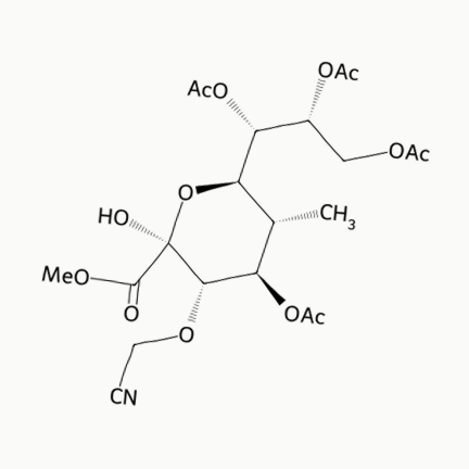 COC(=O)[C@@]1(O)O[C@@H]([C@H](OC(C)=O)[C@@H](COC(C)=O)OC(C)=O)[C@H](C)[C@@H](OC(C)=O)[C@@H]1OCC#N